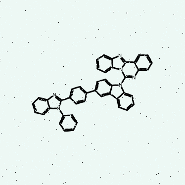 c1ccc(-n2c(-c3ccc(-c4ccc5c(c4)c4ccccc4n5-c4nc5ccccc5c5nc6ccccc6n45)cc3)nc3ccccc32)cc1